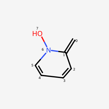 C=C1C=CC=CN1O